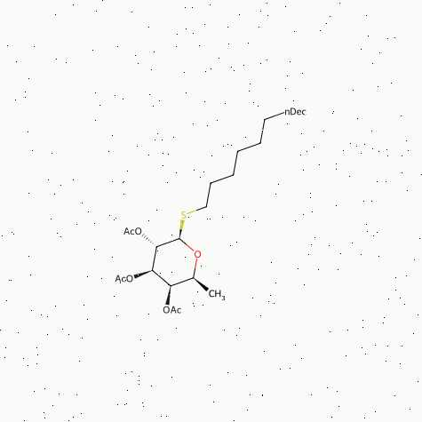 CCCCCCCCCCCCCCCCS[C@H]1O[C@@H](C)[C@@H](OC(C)=O)[C@@H](OC(C)=O)[C@@H]1OC(C)=O